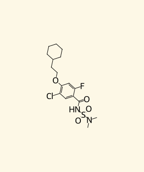 CN(C)S(=O)(=O)NC(=O)c1cc(Cl)c(OCCC2CCCCC2)cc1F